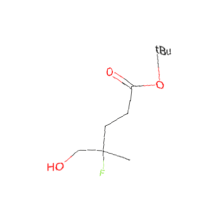 CC(F)(CO)CCC(=O)OC(C)(C)C